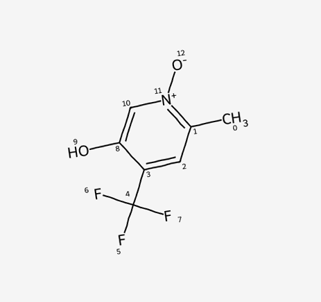 Cc1cc(C(F)(F)F)c(O)c[n+]1[O-]